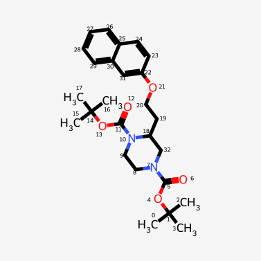 CC(C)(C)OC(=O)N1CCN(C(=O)OC(C)(C)C)C(CCOc2ccc3ccccc3c2)C1